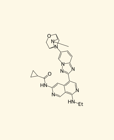 CCNc1ncc(-c2nc3ccc(N4CC5CN(C)CC4CO5)cn3n2)c2cc(NC(=O)C3CC3)ncc12